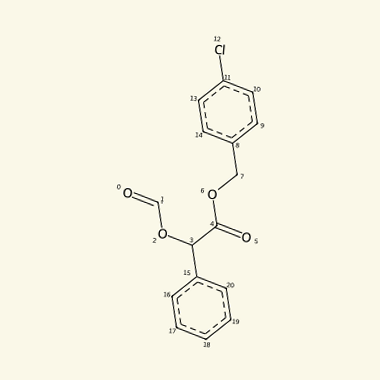 O=[C]OC(C(=O)OCc1ccc(Cl)cc1)c1ccccc1